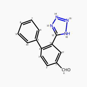 O=Cc1ccc(-c2ccccc2)c(-c2nnn[nH]2)c1